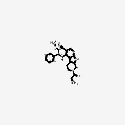 C=CC(=O)N1CCc2c(sc3ncc(C#N)c(N[C@H](COC)c4ccccc4)c23)C1